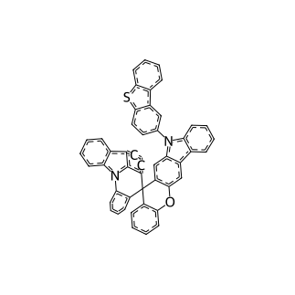 c1ccc2c(c1)Oc1cc3c4ccccc4n(-c4ccc5sc6ccccc6c5c4)c3cc1C21c2ccccc2-n2c3ccccc3c3cccc1c32